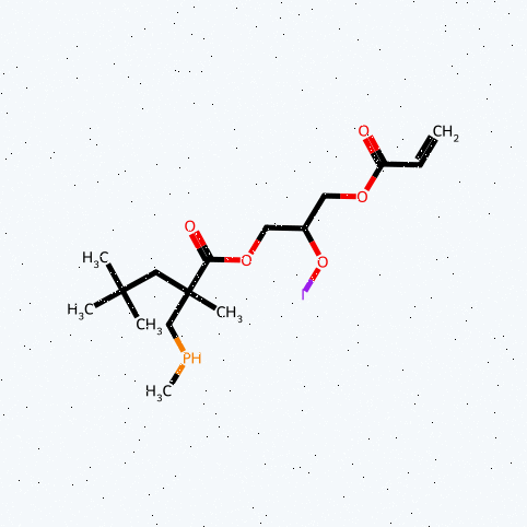 C=CC(=O)OCC(COC(=O)C(C)(CPC)CC(C)(C)C)OI